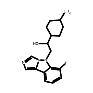 CC1CCC(C(O)Cn2c3c(F)cccc3c3cncn32)CC1